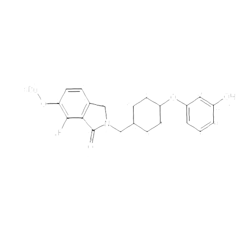 CCCCOc1ccc2c(c1F)C(=O)N(CC1CCC(Oc3cccc(O)c3)CC1)C2